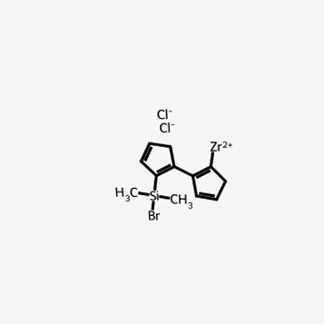 C[Si](C)(Br)C1=C(C2=[C]([Zr+2])CC=C2)CC=C1.[Cl-].[Cl-]